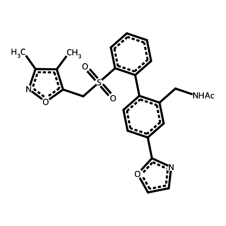 CC(=O)NCc1cc(-c2ncco2)ccc1-c1ccccc1S(=O)(=O)Cc1onc(C)c1C